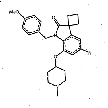 COc1ccc(CN2C(=O)C3(CCC3)c3cc(N)cc(OC4CCN(C)CC4)c32)cc1